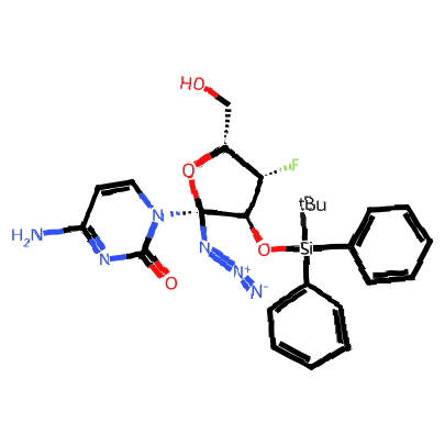 CC(C)(C)[Si](O[C@@H]1[C@@H](F)[C@@H](CO)O[C@@]1(N=[N+]=[N-])n1ccc(N)nc1=O)(c1ccccc1)c1ccccc1